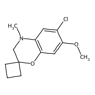 COc1cc2c(cc1Cl)N(C)CC1(CCC1)O2